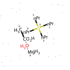 CC(=O)O.CCCS(CCC)(CCC)CCC.O.[MgH2]